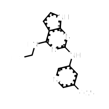 COc1cncc(Nc2nc(NCC(F)(F)F)c3cc[nH]c3n2)c1